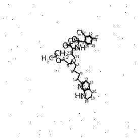 CC(C)OCCN(CCCCc1ccc2c(n1)NCCC2)CCC(NC(=O)c1ccc(F)cc1Cl)C(=O)O